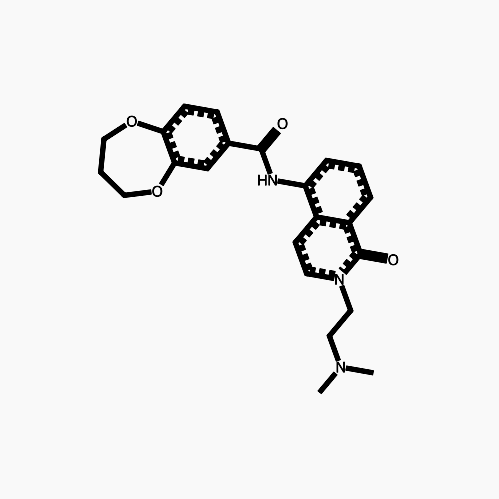 CN(C)CCn1ccc2c(NC(=O)c3ccc4c(c3)OCCCO4)cccc2c1=O